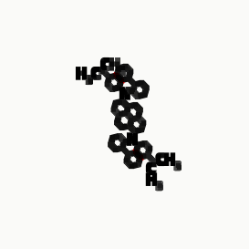 CC(C)c1ccc(N(c2ccccc2-c2ccccc2)c2ccc3ccc4c(N(c5ccc(C(C)C)cc5)c5ccccc5-c5ccccc5)ccc5ccc2c3c54)cc1